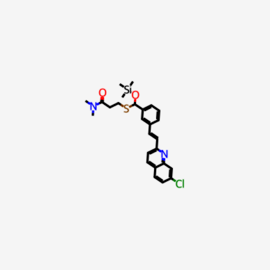 CN(C)C(=O)CCSC(O[Si](C)(C)C)c1cccc(/C=C/c2ccc3ccc(Cl)cc3n2)c1